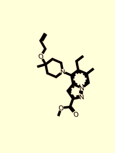 C=CCOC1(C)CCN(c2c(CC)c(C)cn3nc(C(=O)OC)cc23)CC1